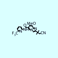 COc1cc2nc(C(C)(C)CC#N)cn2cc1C(=O)Nc1cccc(C(F)(F)F)n1